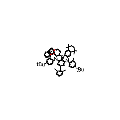 Cc1cc(C(C)(C)C)ccc1N1c2cc3c(cc2B2c4ccc5oc6ccccc6c5c4N(c4ccc(C(C)(C)C)cc4-c4ccccc4)c4cc(-c5c(C)cccc5C)cc1c42)C(C)(C)CCC3(C)C